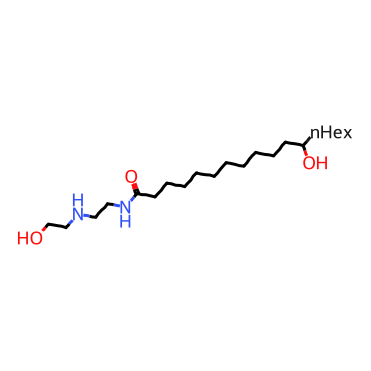 CCCCCCC(O)CCCCCCCCCCC(=O)NCCNCCO